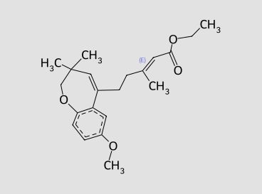 CCOC(=O)/C=C(\C)CCC1=CC(C)(C)COc2ccc(OC)cc21